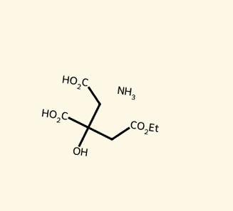 CCOC(=O)CC(O)(CC(=O)O)C(=O)O.N